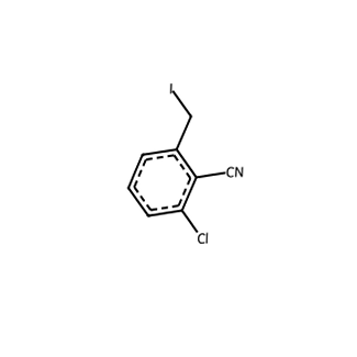 N#Cc1c(Cl)cccc1CI